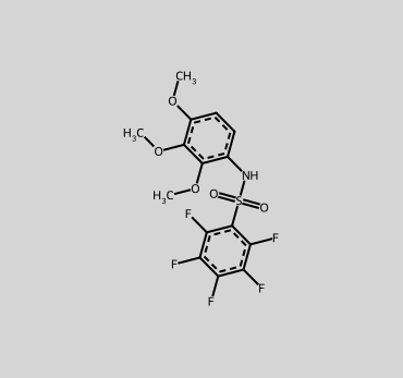 COc1ccc(NS(=O)(=O)c2c(F)c(F)c(F)c(F)c2F)c(OC)c1OC